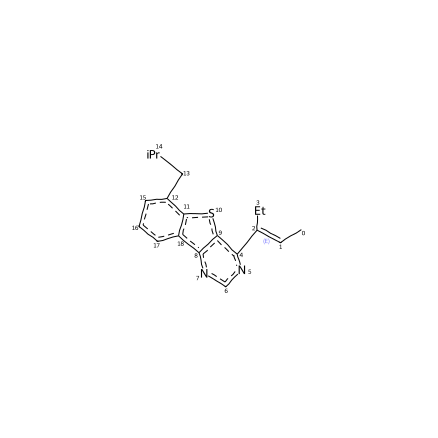 C/C=C(\CC)c1ncnc2c1sc1c(CC(C)C)cccc12